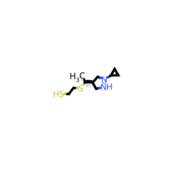 C/C(SCCS)=C1/CNN(C2CC2)C1